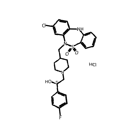 Cl.O=S1(=O)c2ccccc2Nc2ccc(Cl)cc2N1CC1CCN(C[C@H](O)c2ccc(F)cc2)CC1